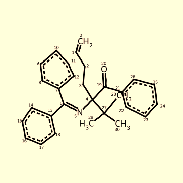 C=CCCC(N=C(c1ccccc1)c1ccccc1)(C(=O)c1ccccc1)C(C)(C)C